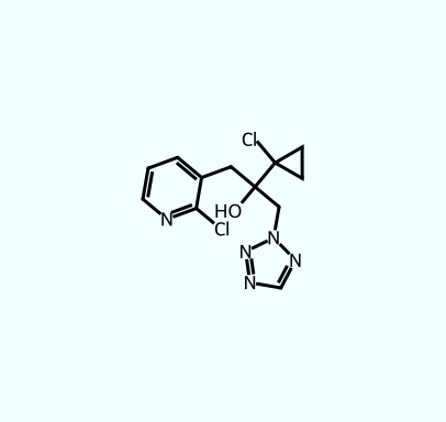 OC(Cc1cccnc1Cl)(Cn1ncnn1)C1(Cl)CC1